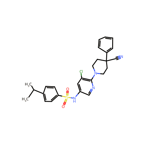 CC(C)c1ccc(S(=O)(=O)Nc2cnc(N3CCC(C#N)(c4ccccc4)CC3)c(Cl)c2)cc1